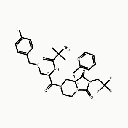 CC(C)(N)C(=O)N[C@H](COCc1ccc(Cl)cc1)C(=O)N1CCN2C(=O)N(CC(F)(F)F)C(=O)[C@]2(Cc2ccccn2)C1